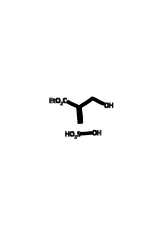 C=C(CO)C(=O)OCC.O=S(=O)(O)O